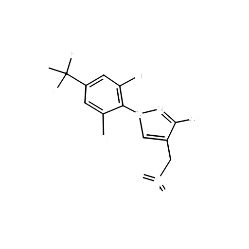 Nc1nn(-c2c(Cl)cc(C(F)(F)F)cc2Cl)cc1C[SH](=O)=O